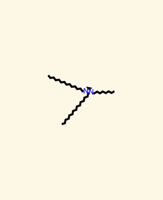 CCCCCCCCCCCCCCc1n(CCCCCCCC)cc[n+]1CCCCCCCCCCCCCC